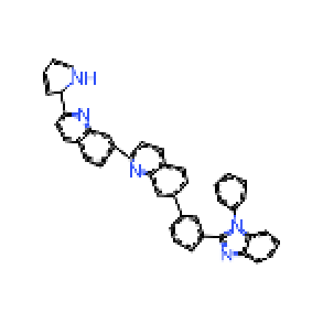 C1=CNC(c2ccc3ccc(-c4ccc5ccc(-c6cccc(-c7nc8ccccc8n7-c7ccccc7)c6)cc5n4)cc3n2)C=C1